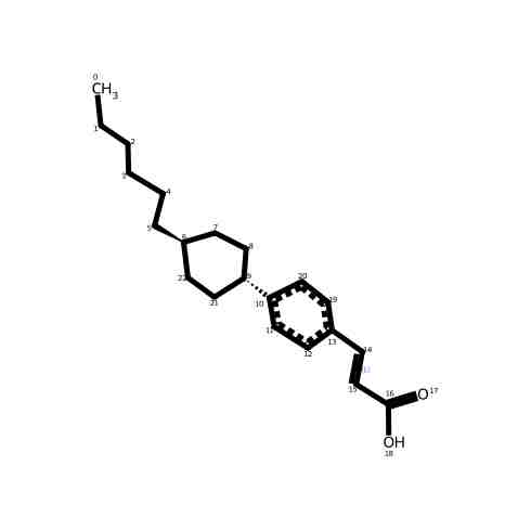 CCCCCC[C@H]1CC[C@H](c2ccc(/C=C/C(=O)O)cc2)CC1